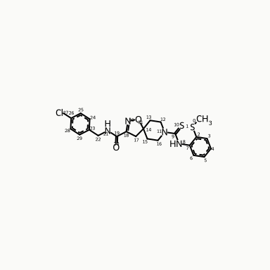 CSc1ccccc1NC(=S)N1CCC2(CC1)CC(C(=O)NCc1ccc(Cl)cc1)=NO2